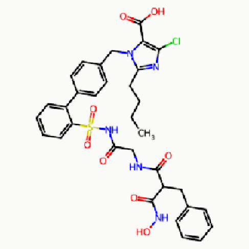 CCCCc1nc(Cl)c(C(=O)O)n1Cc1ccc(-c2ccccc2S(=O)(=O)NC(=O)CNC(=O)C(Cc2ccccc2)C(=O)NO)cc1